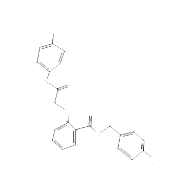 O=C(COc1ccccc1C(=O)NCc1ccc(Cl)cc1)Nc1ccc(Cl)cc1